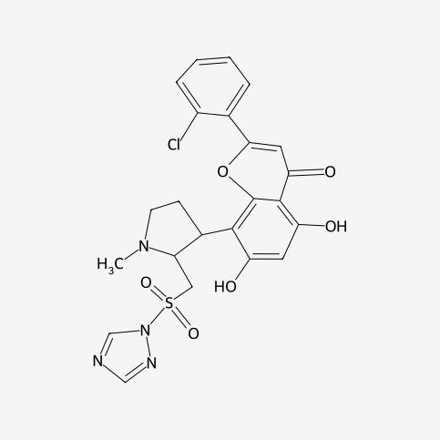 CN1CCC(c2c(O)cc(O)c3c(=O)cc(-c4ccccc4Cl)oc23)C1CS(=O)(=O)n1cncn1